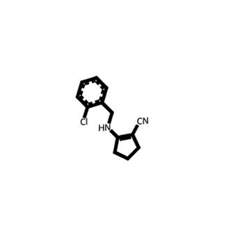 N#CC1=C(NCc2ccccc2Cl)CCC1